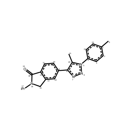 Cc1ccc(-n2nnc(-c3ccc4c(c3)CN(C(C)C)C4=O)c2C)cc1